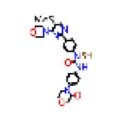 CSc1cnc(-c2ccc(N(S)C(=O)Nc3ccc(N4CCOCC4=O)cc3)cc2)nc1N1CCOCC1